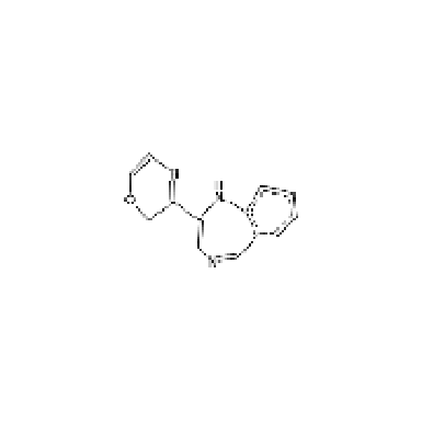 B1=C(C2=CN=Cc3ccccc3N2)COC=C1